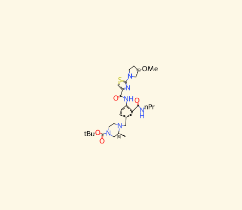 CCCNC(=O)c1cc(CN2CCN(C(=O)OC(C)(C)C)C[C@@H]2C)ccc1NC(=O)c1csc(N2CC[C@H](OC)C2)n1